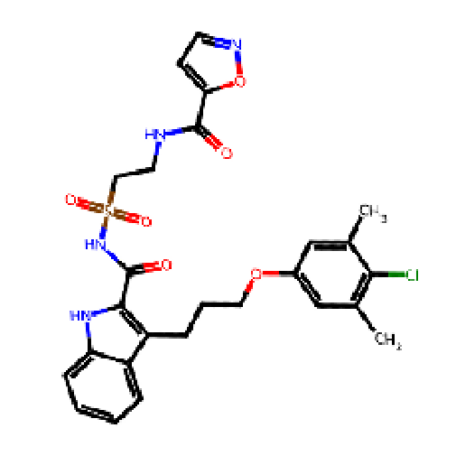 Cc1cc(OCCCc2c(C(=O)NS(=O)(=O)CCNC(=O)c3ccno3)[nH]c3ccccc23)cc(C)c1Cl